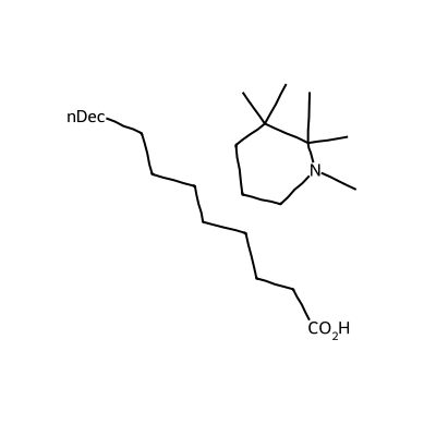 CCCCCCCCCCCCCCCCCC(=O)O.CN1CCCC(C)(C)C1(C)C